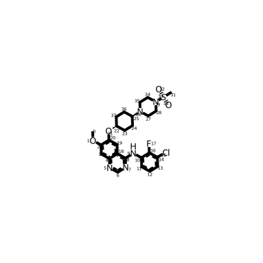 COc1cc2ncnc(Nc3cccc(Cl)c3F)c2cc1O[C@H]1CC[C@H](N2CCN(S(C)(=O)=O)CC2)CC1